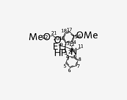 CCC(C)(Pc1ccccc1N(C)C)c1cc(OC)ccc1OCOC